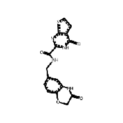 O=C1COc2ccc(CNC(=O)c3nc4sccc4c(=O)[nH]3)cc2N1